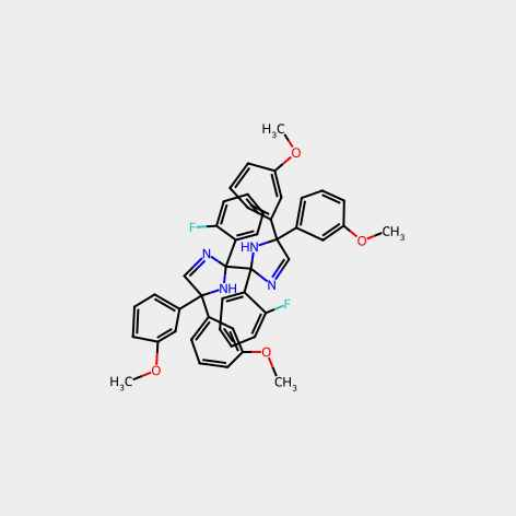 COc1cccc(C2(c3cccc(OC)c3)C=NC(c3ccccc3F)(C3(c4ccccc4F)N=CC(c4cccc(OC)c4)(c4cccc(OC)c4)N3)N2)c1